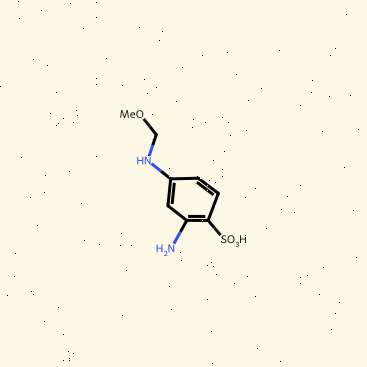 COCNc1ccc(S(=O)(=O)O)c(N)c1